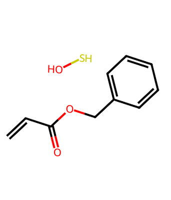 C=CC(=O)OCc1ccccc1.OS